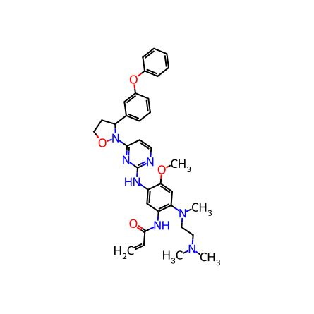 C=CC(=O)Nc1cc(Nc2nccc(N3OCCC3c3cccc(Oc4ccccc4)c3)n2)c(OC)cc1N(C)CCN(C)C